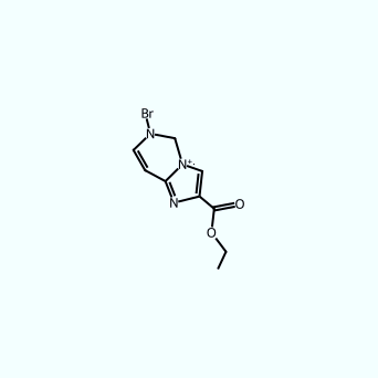 CCOC(=O)C1=C[N+]2CN(Br)C=CC2=N1